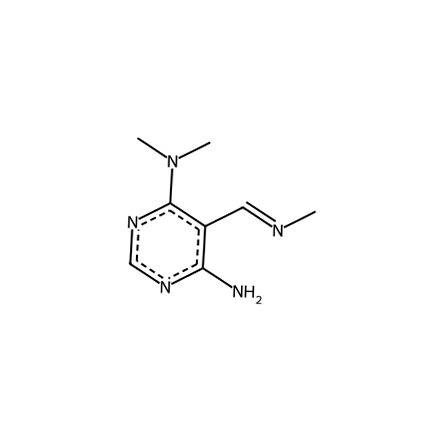 CN=Cc1c(N)ncnc1N(C)C